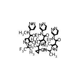 CCN(C(=O)c1cnn(C(C)C(C)C)c1C)c1ccnnc1.CCN(C(=O)c1cnn(C(C)C2(C#N)CC2)c1C)c1ccnnc1.Cc1c(C(=O)N(C)c2ccnnc2)cnn1C(C)C(F)(F)F